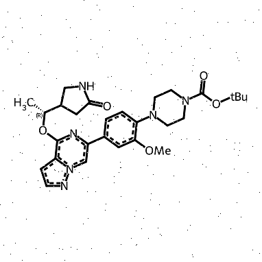 COc1cc(-c2cn3nccc3c(O[C@H](C)C3CNC(=O)C3)n2)ccc1N1CCN(C(=O)OC(C)(C)C)CC1